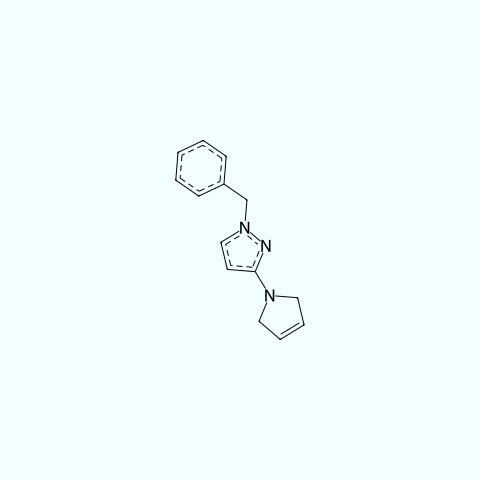 C1=CCN(c2ccn(Cc3ccccc3)n2)C1